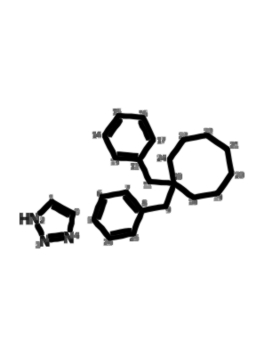 c1c[nH]nn1.c1ccc(CC2(Cc3ccccc3)CCCCCCC2)cc1